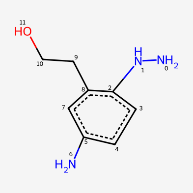 NNc1ccc(N)cc1CCO